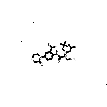 CC(C)CN(CC(C)(C)C)[C@@H](CN)C(=O)Nc1ccc(N2CCOCC2=O)cc1C(F)F